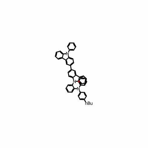 CCCCc1ccc(N(c2ccccc2)c2ccccc2-n2c3ccccc3c3cc(-c4ccc5c(c4)c4ccccc4n5-c4ccccc4)ccc32)cc1